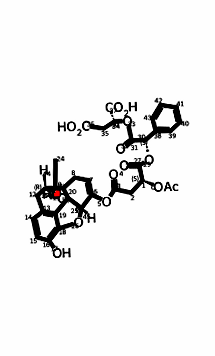 CC(=O)O[C@@H](CC(=O)OC1=CC[C@@]2(O)[C@H]3Cc4ccc(O)c5c4[C@@]2(CCN3C)[C@H]1O5)C(=O)O[C@H](C(=O)O[C@H](CC(=O)O)C(=O)O)c1ccccc1